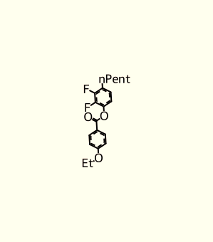 CCCCCc1ccc(OC(=O)c2ccc(OCC)cc2)c(F)c1F